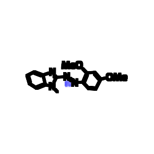 COc1ccc(/N=N/c2nc3ccccc3n2C)c(OC)c1